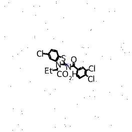 CCC(C(=O)O)n1/c(=N/C(=O)c2ccc(Cl)c(Cl)c2)sc2ccc(Cl)cc21